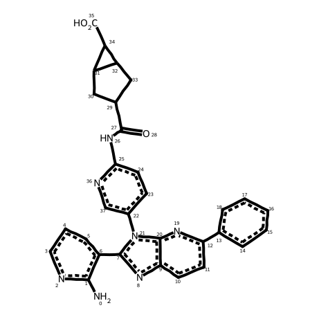 Nc1ncccc1-c1nc2ccc(-c3ccccc3)nc2n1-c1ccc(NC(=O)C2CC3C(C2)C3C(=O)O)nc1